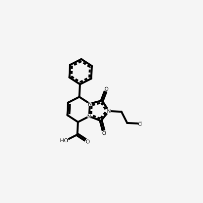 O=C(O)C1C=CC(c2ccccc2)n2c(=O)n(CCCl)c(=O)n21